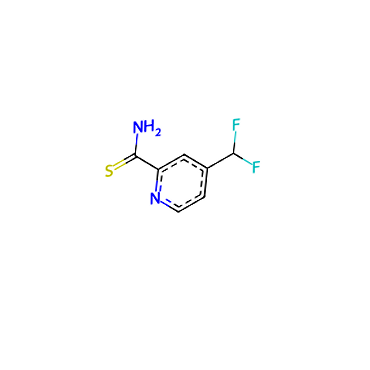 NC(=S)c1cc(C(F)F)ccn1